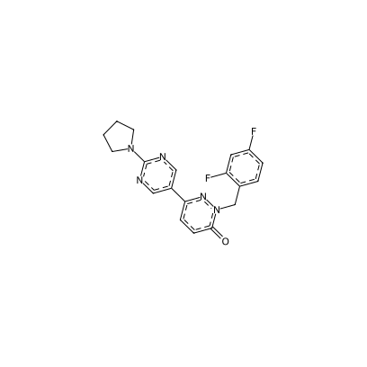 O=c1ccc(-c2cnc(N3CCCC3)nc2)nn1Cc1ccc(F)cc1F